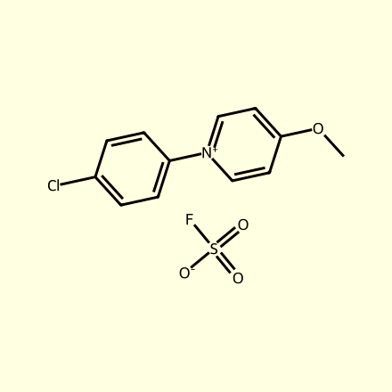 COc1cc[n+](-c2ccc(Cl)cc2)cc1.O=S(=O)([O-])F